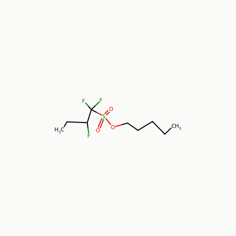 CCCCCOS(=O)(=O)C(F)(F)C(F)CC